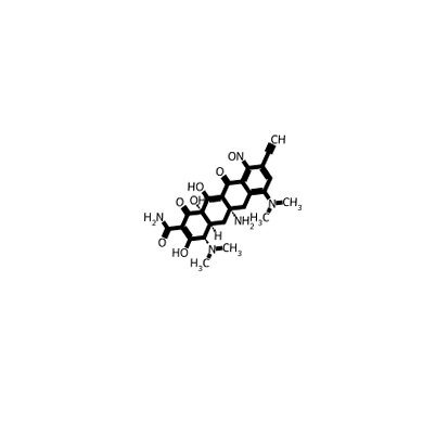 C#Cc1cc(N(C)C)c2c(c1N=O)C(=O)C1=C(O)[C@]3(O)C(=O)C(C(N)=O)=C(O)[C@@H](N(C)C)[C@@H]3C[C@]1(N)C2